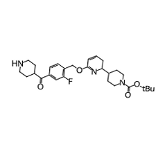 CC(C)(C)OC(=O)N1CCC(C2CC=CC(OCc3ccc(C(=O)C4CCNCC4)cc3F)=N2)CC1